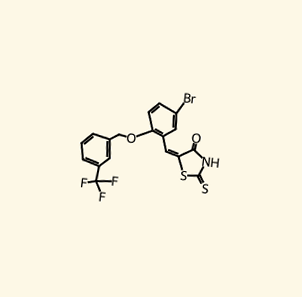 O=C1NC(=S)SC1=Cc1cc(Br)ccc1OCc1cccc(C(F)(F)F)c1